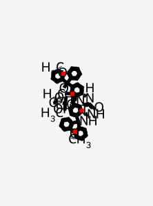 CCC(CC)(OC(CCOC(c1ccccc1)(c1ccccc1)c1ccccc1OC)N1CNc2c1nc(NC(c1ccccc1)(c1ccccc1)c1ccccc1OC)[nH]c2=O)P(=O)(O)O